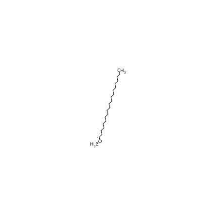 CCCCCCCCCCCCCCCCCCCC[CH]OC